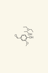 CCO.CCOCC.COc1cc(C=O)ccc1O